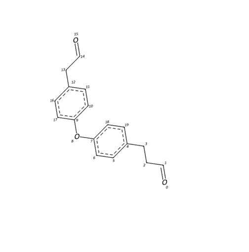 O=CCCc1ccc(Oc2ccc(CC=O)cc2)cc1